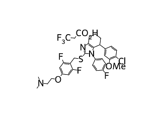 COc1cc(C2CCCc3nc(SCc4c(F)cc(OCCN(C)C)cc4F)n(-c4ccc(F)cc4)c32)ccc1Cl.O=C(O)CC(F)(F)F